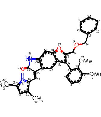 COc1cccc(-c2c(COCc3ccccc3)oc3cc4c(cc23)/C(=C/c2[nH]c(C)cc2C)C(=O)N4)c1OC